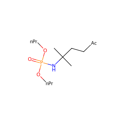 CCCOP(=O)(NC(C)(C)CCC(C)=O)OCCC